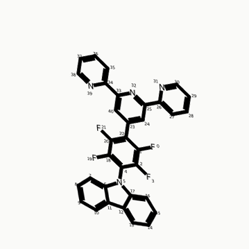 Fc1c(F)c(-n2c3ccccc3c3ccccc32)c(F)c(F)c1-c1cc(-c2ccccn2)nc(-c2ccccn2)c1